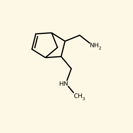 CNCC1C2C=CC(C2)C1CN